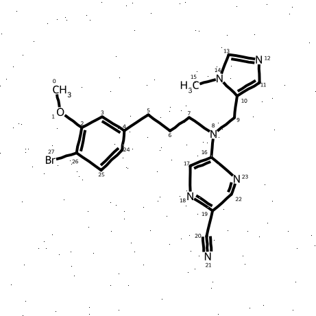 COc1cc(CCCN(Cc2cncn2C)c2cnc(C#N)cn2)ccc1Br